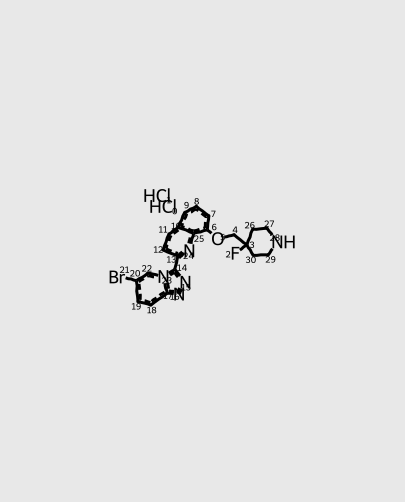 Cl.Cl.FC1(COc2cccc3ccc(-c4nnc5ccc(Br)cn45)nc23)CCNCC1